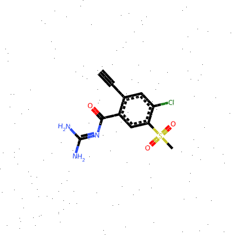 C#Cc1cc(Cl)c(S(C)(=O)=O)cc1C(=O)N=C(N)N